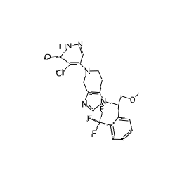 COCC(c1ccccc1C(F)(F)F)n1cnc2c1CCN(c1cn[nH]c(=O)c1Cl)C2